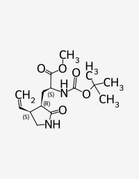 C=C[C@@H]1CNC(=O)[C@@H]1C[C@H](NC(=O)OC(C)(C)C)C(=O)OC